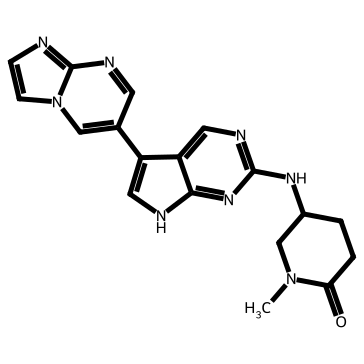 CN1CC(Nc2ncc3c(-c4cnc5nccn5c4)c[nH]c3n2)CCC1=O